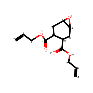 C=CCOC(=O)C1CC2OC2CC1C(=O)OCC=C